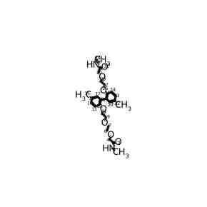 CNC(=O)COCCOCCOc1ccc(C)cc1-c1cc(C)ccc1OCCOCC(=O)NC